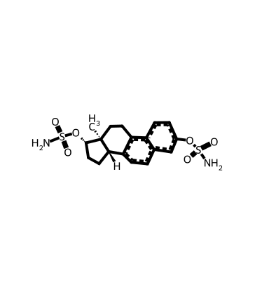 C[C@]12CCc3c(ccc4cc(OS(N)(=O)=O)ccc34)[C@@H]1CC[C@@H]2OS(N)(=O)=O